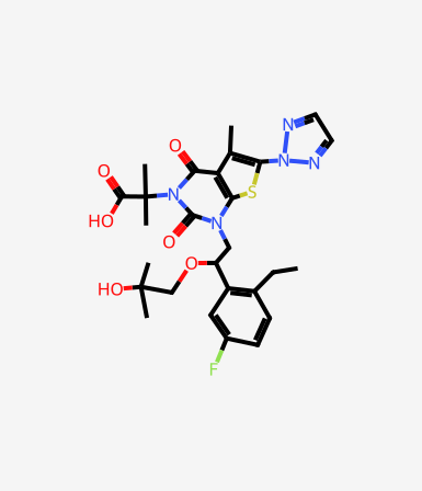 CCc1ccc(F)cc1C(Cn1c(=O)n(C(C)(C)C(=O)O)c(=O)c2c(C)c(-n3nccn3)sc21)OCC(C)(C)O